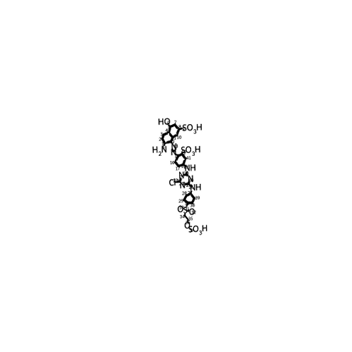 Nc1ccc2c(O)cc(S(=O)(=O)O)cc2c1N=Nc1ccc(Nc2nc(Cl)nc(Nc3ccc(S(=O)(=O)CCOS(=O)(=O)O)cc3)n2)cc1S(=O)(=O)O